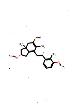 COc1cccc(CCC2=C3C[C@H](OC)C[C@]3(C)CC(SI)=C2C)c1C